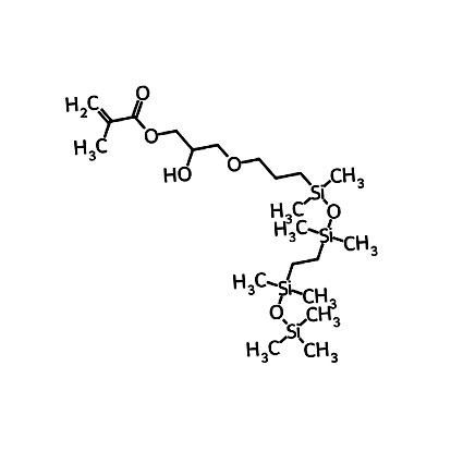 C=C(C)C(=O)OCC(O)COCCC[Si](C)(C)O[Si](C)(C)CC[Si](C)(C)O[Si](C)(C)C